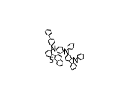 c1ccc(-c2ccc(N(c3ccc(N(c4ccccc4)c4ccc5c6ccccc6n(-c6ccccc6)c5c4)cc3)c3cccc4sc5c6ccccc6ccc5c34)cc2)cc1